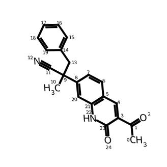 CC(=O)c1cc2ccc(C(C)(C#N)Cc3ccccc3)cc2[nH]c1=O